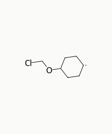 ClCOC1CC[CH]CC1